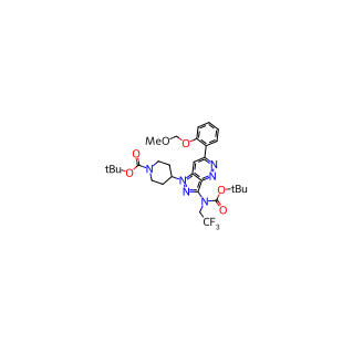 COCOc1ccccc1-c1cc2c(nn1)c(N(CC(F)(F)F)C(=O)OC(C)(C)C)nn2C1CCN(C(=O)OC(C)(C)C)CC1